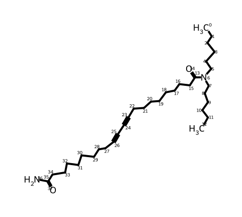 CCCCCCN(CCCCCC)C(=O)CCCCCCCCC#CC#CCCCCCCCCC(N)=O